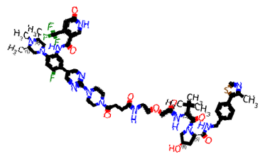 Cc1ncsc1-c1ccc(CNC(=O)[C@@H]2C[C@@H](O)CN2C(=O)[C@@H](NC(=O)COCCNC(=O)CCC(=O)N2CCN(c3ncc(-c4cc(NC(=O)c5c[nH]c(=O)cc5C(F)(F)F)c(N5C[C@@H](C)N(C)[C@@H](C)C5)cc4F)cn3)CC2)C(C)(C)C)cc1